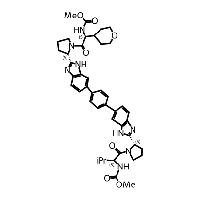 COC(=O)N[C@H](C(=O)N1CCC[C@H]1c1nc2ccc(-c3ccc(-c4ccc5nc([C@@H]6CCCN6C(=O)[C@@H](NC(=O)OC)C6CCOCC6)[nH]c5c4)cc3)cc2[nH]1)C(C)C